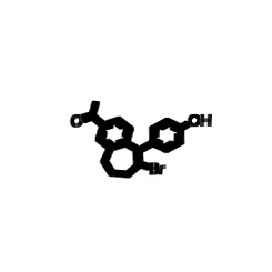 CC(=O)c1ccc2c(c1)CCCC(Br)=C2c1ccc(O)cc1